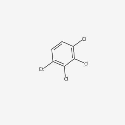 [CH2]Cc1ccc(Cl)c(Cl)c1Cl